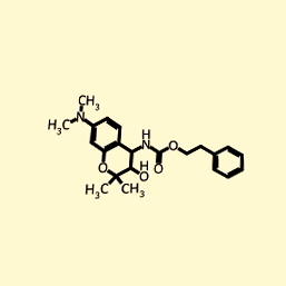 CN(C)c1ccc2c(c1)OC(C)(C)C(O)C2NC(=O)OCCc1ccccc1